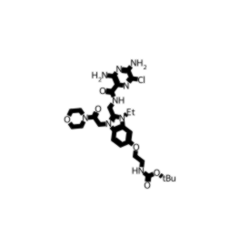 CCn1c(CNC(=O)c2nc(Cl)c(N)nc2N)[n+](CC(=O)N2CCOCC2)c2ccc(OCCNC(=O)OC(C)(C)C)cc21